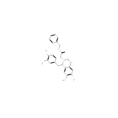 COc1ccc(CC2c3cc(OC)c(OC)cc3CCN2CC(=O)NCc2ccccc2)cc1OC